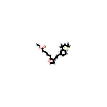 CCOC(=O)CCCCc1occc1C#Cc1ccc2c(c1)C(C)(C)CC(C)(C)S2